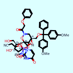 COc1ccc(C(OC[C@@]23CN(C(=O)COc4ccccc4)O[C@@H]([C@H]([N+]4([C@@H]5O[C@H](CO)[C@@H](O)[C@H]5O)C=CC(=O)NC4=O)O2)[C@@H]3OP(OCCC#N)N(C(C)C)C(C)C)(c2ccccc2)c2ccc(OC)cc2)cc1